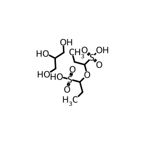 CCC(OC(CC)S(=O)(=O)O)S(=O)(=O)O.OCC(O)CO